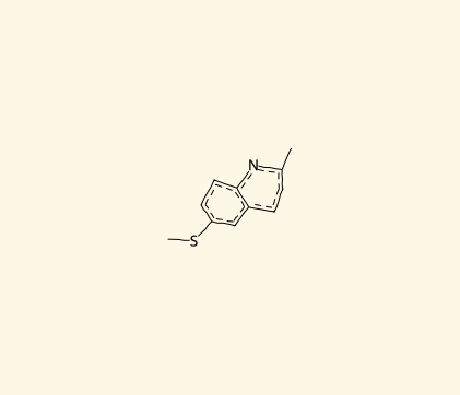 CSc1ccc2nc(C)ccc2c1